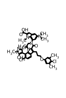 Cc1cc(OCCCc2c3n(c4c(-c5c(C)nn(C)c5C)c(Cl)ccc24)[C@H](C)CN(c2cc(N(C)C)cc4cc(C(=O)O)n(C)c24)C3=O)cc(C)c1Cl